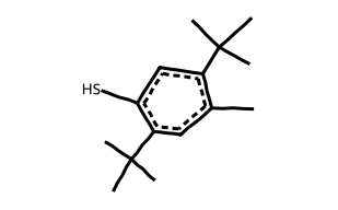 Cc1cc(C(C)(C)C)c(S)cc1C(C)(C)C